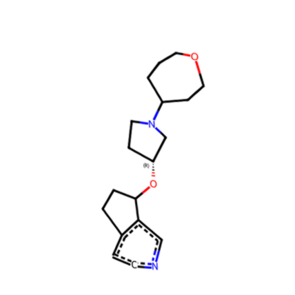 c1cc2c(cn1)C(O[C@@H]1CCN(C3CCCOCC3)C1)CC2